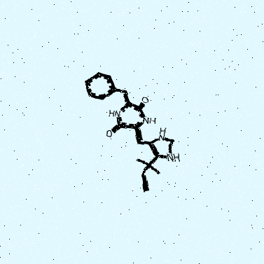 C=CC(C)(C)C1=C(/C=c2\[nH]c(=O)/c(=C/c3ccccc3)[nH]c2=O)NCN1